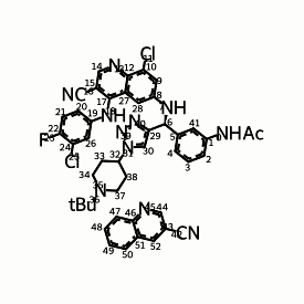 CC(=O)Nc1cccc([C@H](Nc2cc(Cl)c3ncc(C#N)c(Nc4ccc(F)c(Cl)c4)c3c2)c2cn(C3CCN(C(C)(C)C)CC3)nn2)c1.N#Cc1cnc2ccccc2c1